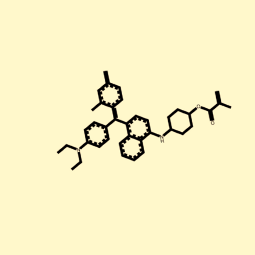 C=C(C)C(=O)OC1CCC(Nc2ccc(/C(c3ccc(N(CC)CC)cc3)=c3\ccc(=C)cc3C)c3ccccc23)CC1